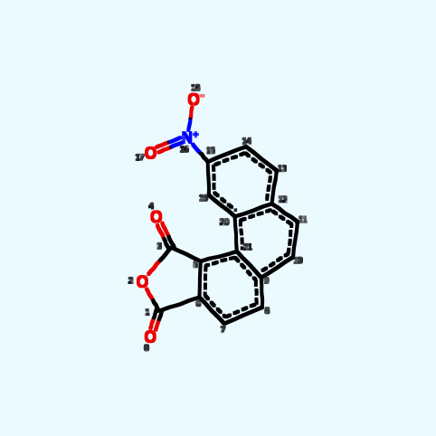 O=C1OC(=O)c2c1ccc1ccc3ccc([N+](=O)[O-])cc3c21